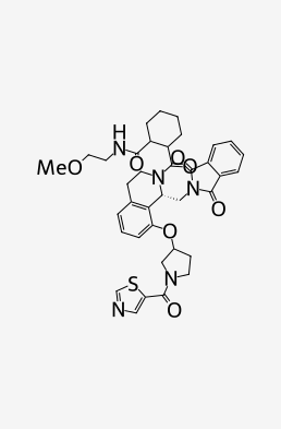 COCCNC(=O)C1CCCCC1C(=O)N1CCc2cccc(OC3CCN(C(=O)c4cncs4)C3)c2[C@H]1CN1C(=O)c2ccccc2C1=O